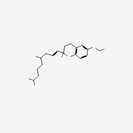 CCOc1ccc2c(c1)CCC(C)(/C=C/CC(C)CCCC(C)C)O2